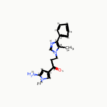 CCn1cc(C(=O)CCn2cnc(-c3ccccc3)c2C)cc1N